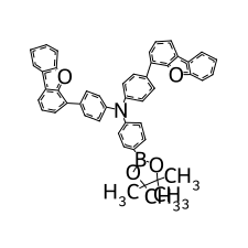 CC1(C)OB(c2ccc(N(c3ccc(-c4cccc5c4oc4ccccc45)cc3)c3ccc(-c4cccc5c4oc4ccccc45)cc3)cc2)OC1(C)C